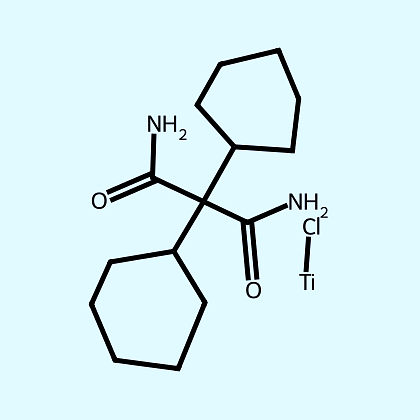 NC(=O)C(C(N)=O)(C1CCCCC1)C1CCCCC1.[Cl][Ti]